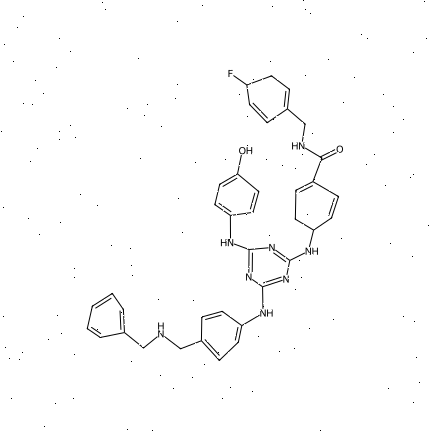 O=C(NCC1=CCC(F)C=C1)C1=CCC(Nc2nc(Nc3ccc(O)cc3)nc(Nc3ccc(CNCc4ccccc4)cc3)n2)C=C1